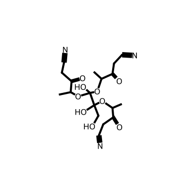 CC(OC(O)(CO)C(O)(OC(C)C(=O)CC#N)OC(C)C(=O)CC#N)C(=O)CC#N